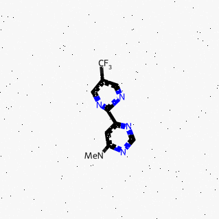 CNc1cc(-c2ncc(C(F)(F)F)cn2)ncn1